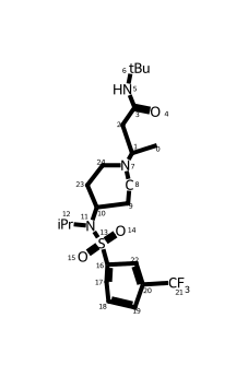 CC(CC(=O)NC(C)(C)C)N1CCC(N(C(C)C)S(=O)(=O)c2cccc(C(F)(F)F)c2)CC1